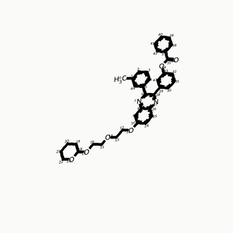 Cc1cccc(-c2nc3cc(OCCOCCOC4CCCCO4)ccc3nc2-c2cccc(OC(=O)c3ccccc3)c2)c1